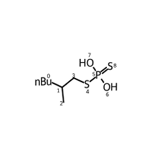 CCCCC(C)CSP(O)(O)=S